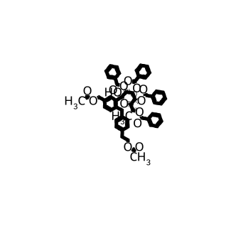 CC(=O)OCCc1ccc(Cc2ccc(COC(C)=O)cc2[C@@]2(O)O[C@H]([C@H](C)OC(=O)c3ccccc3)[C@@H](OC(=O)c3ccccc3)[C@H](OC(=O)c3ccccc3)[C@H]2OC(=O)c2ccccc2)cc1